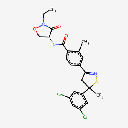 Cc1cc(C2=NSC(c3cc(Cl)cc(Cl)c3)(C(F)(F)F)C2)ccc1C(=O)N[C@@H]1CON(CC(F)(F)F)C1=O